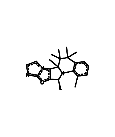 Cc1cccc2c1N1[C@@H](C)c3oc4nccn4c3C1(C)C(C)(C)C2(C)C